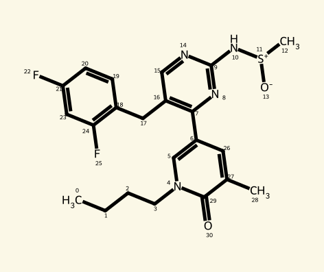 CCCCn1cc(-c2nc(N[S+](C)[O-])ncc2Cc2ccc(F)cc2F)cc(C)c1=O